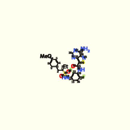 CCC(Cc1ccc(OC)cc1)S(=O)(=O)Nc1ccc(F)c(NC(=O)c2snc3c(N)ncnc23)c1F